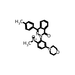 Cc1ccc(-c2nn(-c3cc(N4CCOCC4)ccc3[N+](C)=O)c(=O)c3ccccc23)cc1